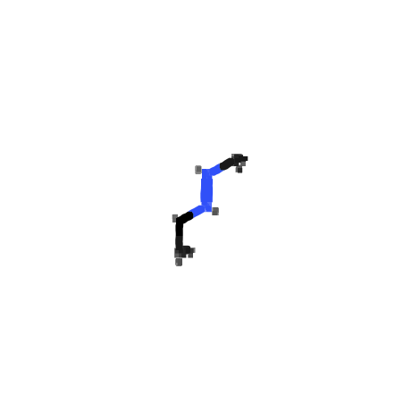 CCCCN=NC(C)C